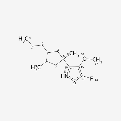 CCCCCC(C)(CCC)c1[nH]cc(F)c1OC